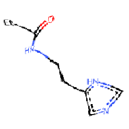 CCC(=O)NCCc1cnc[nH]1